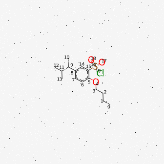 CCCCOc1ccc(C(C)C(C)C)cc1S(=O)(=O)Cl